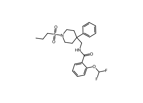 CCCS(=O)(=O)N1CCC(CNC(=O)c2ccccc2OC(F)F)(c2ccccc2)CC1